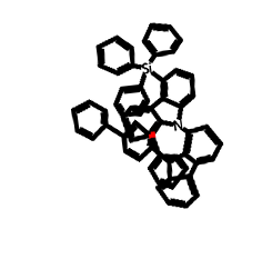 c1ccc(-c2ccc(C3c4ccccc4-c4cccc(-n5c6cccc([Si](c7ccccc7)(c7ccccc7)c7ccccc7)c6c6cccc(-c7ccccc7)c65)c43)cc2)cc1